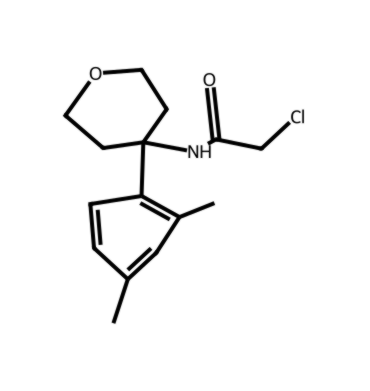 Cc1ccc(C2(NC(=O)CCl)CCOCC2)c(C)c1